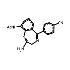 CC(=O)Nc1cccc2c1N=C(N)CN=C2c1ccc(C#N)cc1